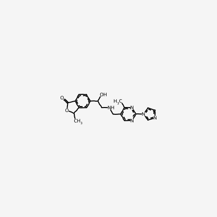 Cc1nc(-n2ccnc2)ncc1CNCC(O)c1ccc2c(c1)C(C)OC2=O